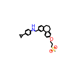 CS(=O)(=O)CCCOc1ccc2c(c1)CCCc1ccc(CNc3ccc(C4CC4)cc3)cc1-2